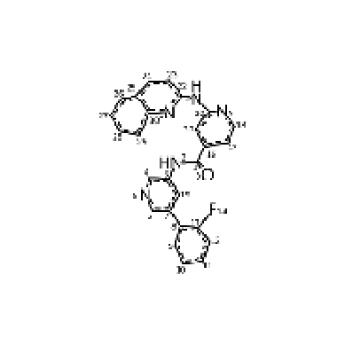 O=C(Nc1cncc(-c2ccccc2F)c1)c1ccnc(Nc2ccc3ccccc3n2)c1